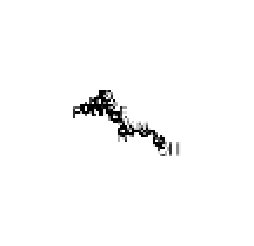 O=C(Nc1ccc(Oc2ccnc3cc(-c4ccc(CN5CCC(O)CC5)cn4)sc23)c(F)c1)c1c2c(cn(-c3ccc(F)cc3)c1=O)CCO2